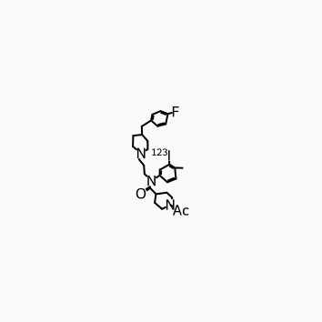 CC(=O)N1CCC(C(=O)N(CCCN2CCC(Cc3ccc(F)cc3)CC2)c2ccc(C)c([123I])c2)CC1